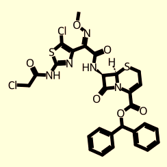 CO/N=C(/C(=O)N[C@@H]1C(=O)N2C(C(=O)OC(c3ccccc3)c3ccccc3)=CCS[C@H]12)c1nc(NC(=O)CCl)sc1Cl